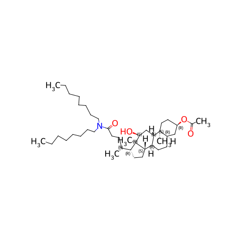 CCCCCCCCN(CCCCCCCC)C(=O)CC[C@@H](C)[C@H]1CC[C@H]2[C@@H]3CC[C@@H]4C[C@H](OC(C)=O)CC[C@]4(C)[C@H]3C[C@H](O)[C@]12C